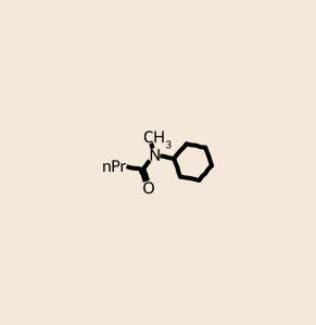 [CH2]CCC(=O)N(C)C1CCCCC1